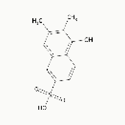 Cc1cc2cc(S(=O)(=O)O)ccc2c(O)c1C